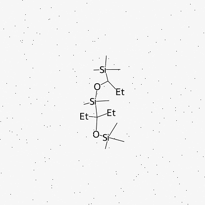 CCC(O[Si](C)(C)C(CC)(CC)O[Si](C)(C)C)[Si](C)(C)C